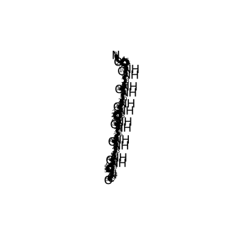 N#COc1cccc(NC(=O)NCCCNC(=O)NCCCNC(=O)Nc2cccc(NC(=O)NCCCNC(=O)NCCCNC(=O)Nc3cccc(N=C=O)c3)c2)c1